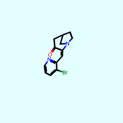 O=C1CC2CCN(C2)C1=Cc1ncccc1Br